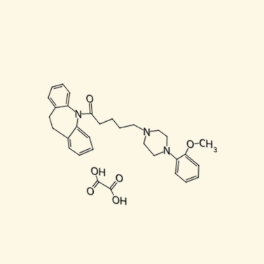 COc1ccccc1N1CCN(CCCCC(=O)N2c3ccccc3CCc3ccccc32)CC1.O=C(O)C(=O)O